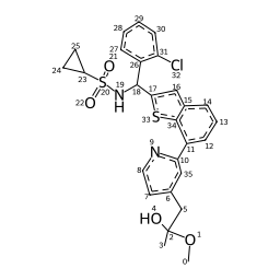 COC(C)(O)Cc1ccnc(-c2cccc3cc(C(NS(=O)(=O)C4CC4)c4ccccc4Cl)sc23)c1